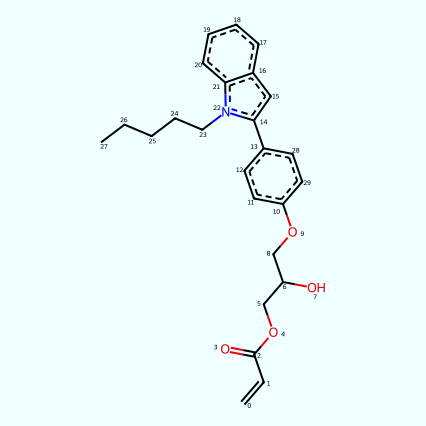 C=CC(=O)OCC(O)COc1ccc(-c2cc3ccccc3n2CCCCC)cc1